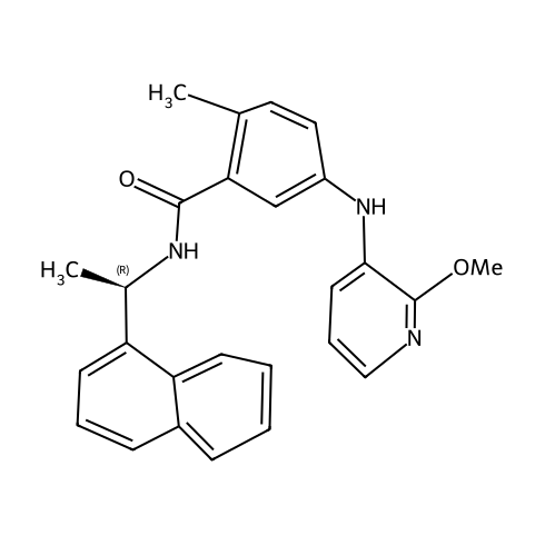 COc1ncccc1Nc1ccc(C)c(C(=O)N[C@H](C)c2cccc3ccccc23)c1